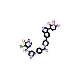 CN1C[C@H](Nc2cnn(C)c(=O)c2Br)C[C@H](c2ccc(C(=O)N3CCC(c4ccc5c(C6CCC(=O)NC6=O)cncc5c4)CC3)cc2)C1